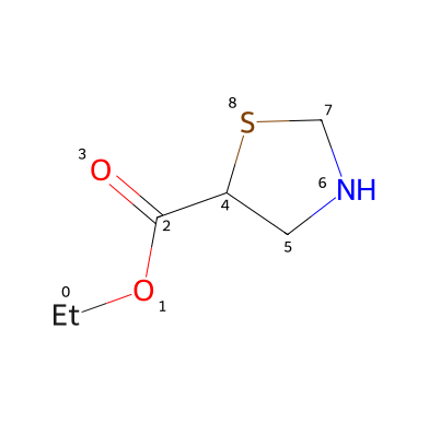 CCOC(=O)C1CNCS1